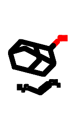 C=CC.OC1C2CC3CC(C2)CC1C3